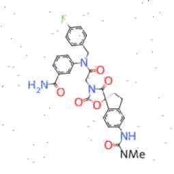 CNC(=O)Nc1ccc2c(c1)CC[C@@]21OC(=O)N(CC(=O)N(Cc2ccc(F)cc2)c2cccc(C(N)=O)c2)C1=O